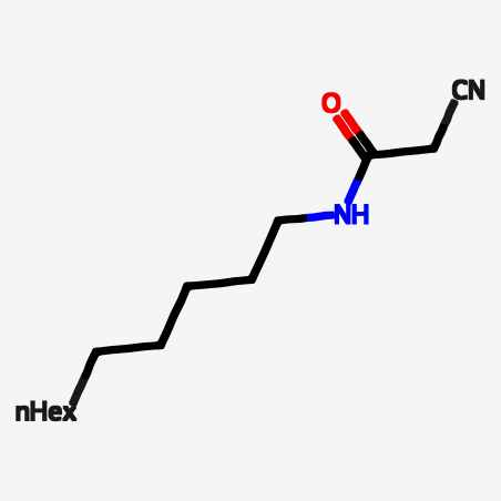 CCCCCCCCCCCNC(=O)CC#N